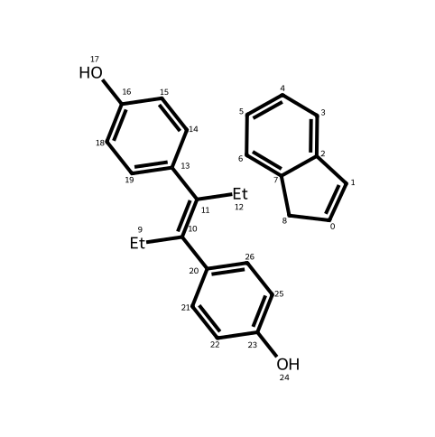 C1=Cc2ccccc2C1.CC/C(=C(/CC)c1ccc(O)cc1)c1ccc(O)cc1